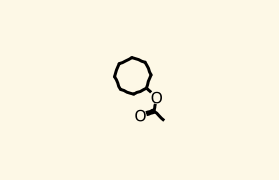 CC(=O)OC1CCCCCCC1